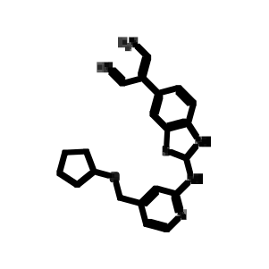 N=C/C(=C\N)c1ccc2c(c1)SC(Nc1cc(COC3CCCC3)ccn1)N2